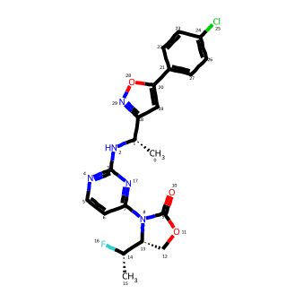 C[C@H](Nc1nccc(N2C(=O)OC[C@@H]2[C@H](C)F)n1)c1cc(-c2ccc(Cl)cc2)on1